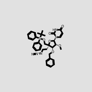 CO[C@H]1[C@H](n2ccc(=O)[nH]c2=O)O[C@](CCN=[N+]=[N-])(CO[Si](c2ccccc2)(c2ccccc2)C(C)(C)C)[C@H]1OCc1ccccc1